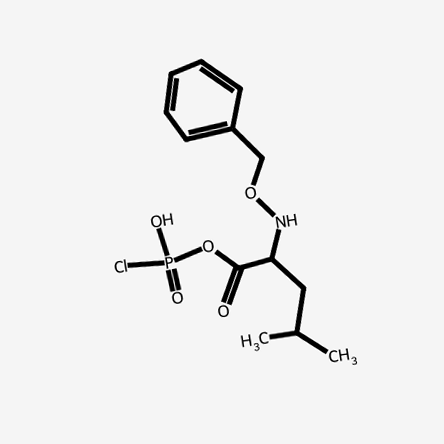 CC(C)CC(NOCc1ccccc1)C(=O)OP(=O)(O)Cl